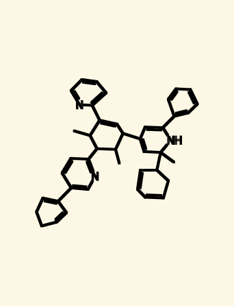 CC1C(c2ccccn2)=CC(C2=CC(C)(C3C=CC=CC3)NC(c3ccccc3)=C2)C(C)C1c1ccc(C2=CCCC=C2)cn1